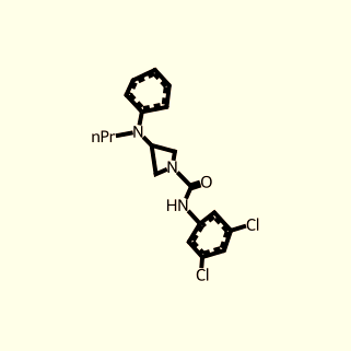 CCCN(c1ccccc1)C1CN(C(=O)Nc2cc(Cl)cc(Cl)c2)C1